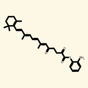 CC1=C(/C=C/C(C)=C/C=C/C(C)=C/C(=O)CCC(=O)C(=O)Oc2ccccc2N)C(C)(C)CCC1